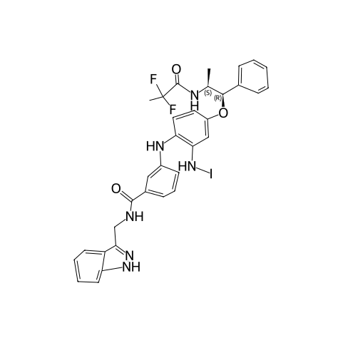 C[C@H](NC(=O)C(C)(F)F)[C@H](Oc1ccc(Nc2cccc(C(=O)NCc3n[nH]c4ccccc34)c2)c(NI)c1)c1ccccc1